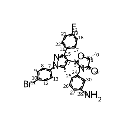 C[C@H]1O[C@H](c2cn(-c3ccc(Br)cc3)nc2-c2ccc(F)cc2)N(c2cccc(N)c2)C1=O